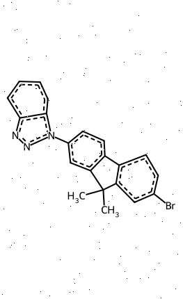 CC1(C)c2cc(Br)ccc2-c2ccc(-n3nnc4ccccc43)cc21